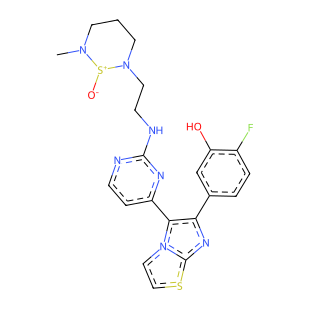 CN1CCCN(CCNc2nccc(-c3c(-c4ccc(F)c(O)c4)nc4sccn34)n2)[S+]1[O-]